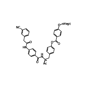 CCCCCCCOc1ccc(C(=O)Oc2ccc(C[C@H](NC(=O)c3ccc(NC(=O)Cc4cccc(C#N)c4)cc3)C(C)=O)cc2)cc1